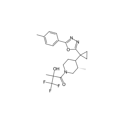 Cc1ccc(-c2nnc(C3(C4CCN(C(=O)C(C)(O)C(F)(F)F)C[C@H]4C)CC3)o2)cc1